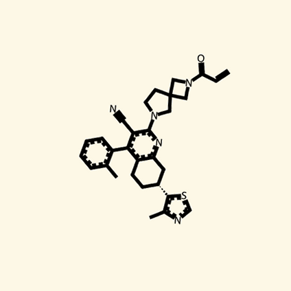 C=CC(=O)N1CC2(CCN(c3nc4c(c(-c5ccccc5C)c3C#N)CC[C@@H](c3scnc3C)C4)C2)C1